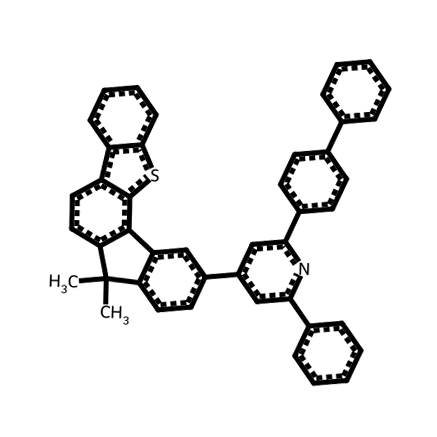 CC1(C)c2ccc(-c3cc(-c4ccccc4)nc(-c4ccc(-c5ccccc5)cc4)c3)cc2-c2c1ccc1c2sc2ccccc21